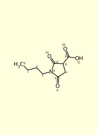 CCCCN1C(=O)CC(C(=O)O)C1=O